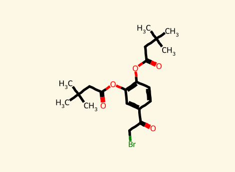 CC(C)(C)CC(=O)Oc1ccc(C(=O)CBr)cc1OC(=O)CC(C)(C)C